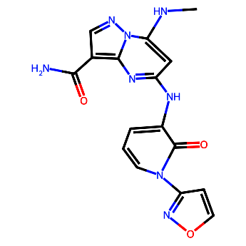 CNc1cc(Nc2cccn(-c3ccon3)c2=O)nc2c(C(N)=O)cnn12